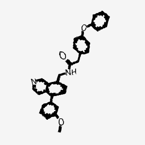 COc1cccc(-c2ccc(CNC(=O)Cc3ccc(Oc4ccccc4)cc3)c3cnccc23)c1